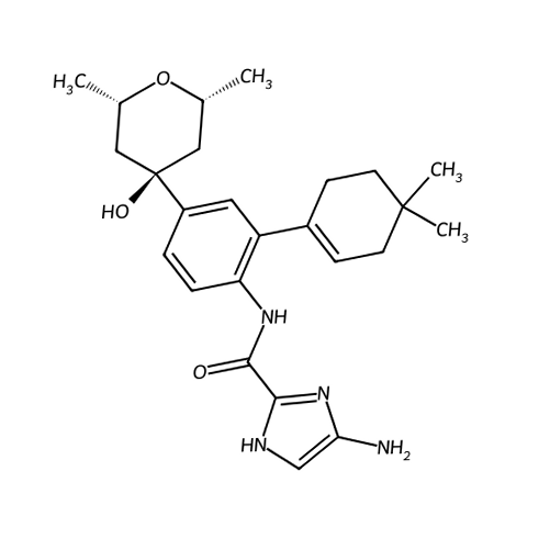 C[C@@H]1C[C@](O)(c2ccc(NC(=O)c3nc(N)c[nH]3)c(C3=CCC(C)(C)CC3)c2)C[C@H](C)O1